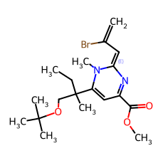 C=C(Br)/C=C1/N=C(C(=O)OC)C=C(C(C)(CC)COC(C)(C)C)N1C